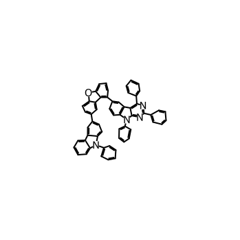 c1ccc(-c2nc(-c3ccccc3)c3c4cc(-c5cccc6oc7ccc(-c8ccc9c(c8)c8ccccc8n9-c8ccccc8)cc7c56)ccc4n(-c4ccccc4)c3n2)cc1